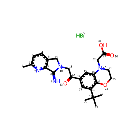 Br.Cc1ccc2c(n1)C(=N)N(CC(=O)c1cc3c(c(C(C)(C)C)c1)OCCN3CC(=O)O)C2